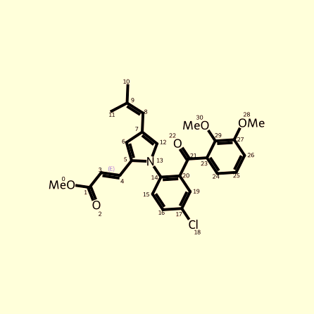 COC(=O)/C=C/c1cc(C=C(C)C)cn1-c1ccc(Cl)cc1C(=O)c1cccc(OC)c1OC